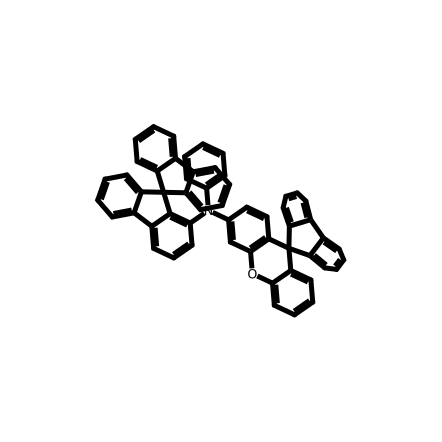 c1ccc(N(c2ccc3c(c2)Oc2ccccc2C32c3ccccc3-c3ccccc32)c2cccc3c2C2(c4ccccc4-c4ccccc42)c2ccccc2-3)cc1